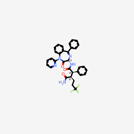 NC(=O)[C@H](CCC(F)(F)F)[C@@H](C(=O)N[C@H]1N=C(c2ccccc2)c2ccccc2N(c2ccccn2)C1=O)c1ccccc1